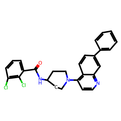 O=C(NC1CCN(c2ccnc3cc(-c4ccccc4)ccc23)CC1)c1cccc(Cl)c1Cl